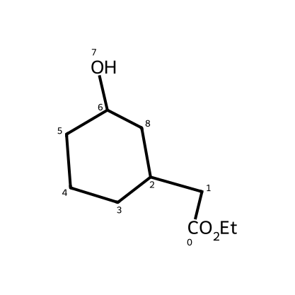 CCOC(=O)CC1CCCC(O)C1